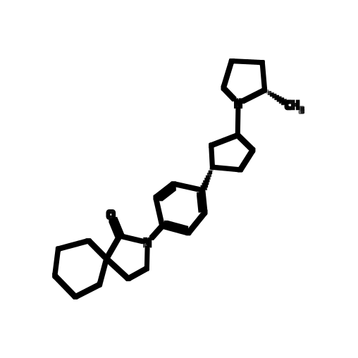 C[C@H]1CCCN1C1CC[C@H](c2ccc(N3CCC4(CCCCC4)C3=O)cc2)C1